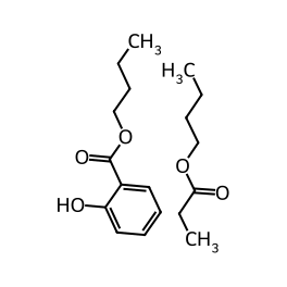 CCCCOC(=O)CC.CCCCOC(=O)c1ccccc1O